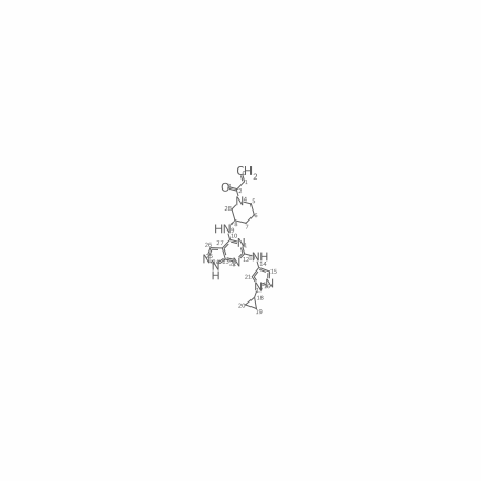 C=CC(=O)N1CCC[C@@H](Nc2nc(Nc3cnn(C4CC4)c3)nc3[nH]ncc23)C1